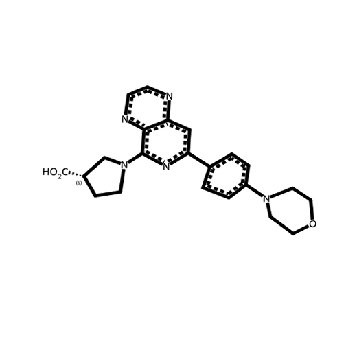 O=C(O)[C@H]1CCN(c2nc(-c3ccc(N4CCOCC4)cc3)cc3nccnc23)C1